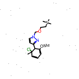 COC1=CC=CC(C)(Cl)C1c1ccn(COCC[Si](C)(C)C)n1